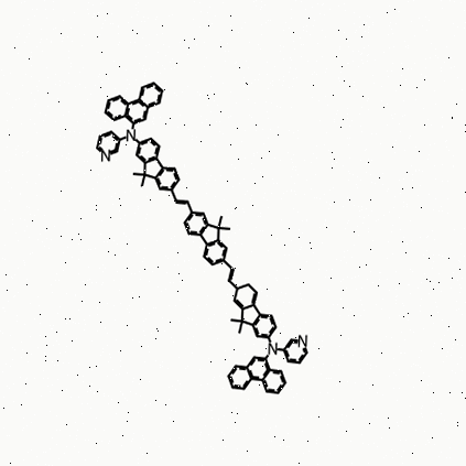 CC1(C)C2=CC(/C=C/c3ccc4c(c3)C(C)(C)c3cc(/C=C/c5ccc6c(c5)C(C)(C)c5cc(N(c7cccnc7)c7cc8ccccc8c8ccccc78)ccc5-6)ccc3-4)CC=C2c2ccc(N(c3cccnc3)c3cc4ccccc4c4ccccc34)cc21